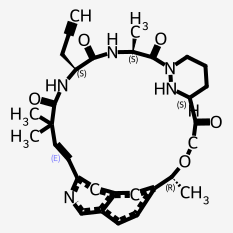 C#CC[C@@H]1NC(=O)C(C)(C)/C=C/c2cc3cc(ccc3cn2)[C@@H](C)OCC(=O)[C@@H]2CCCN(N2)C(=O)[C@H](C)NC1=O